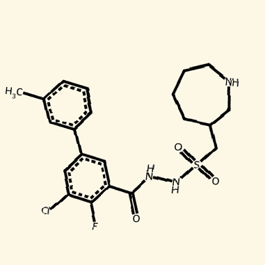 Cc1cccc(-c2cc(Cl)c(F)c(C(=O)NNS(=O)(=O)CC3CCCCNC3)c2)c1